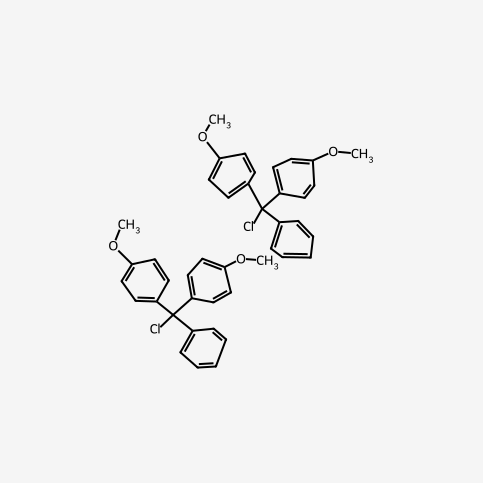 COc1ccc(C(Cl)(c2ccccc2)c2ccc(OC)cc2)cc1.COc1ccc(C(Cl)(c2ccccc2)c2ccc(OC)cc2)cc1